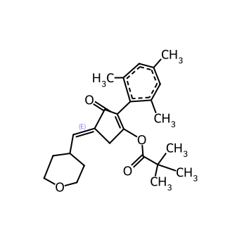 Cc1cc(C)c(C2=C(OC(=O)C(C)(C)C)C/C(=C\C3CCOCC3)C2=O)c(C)c1